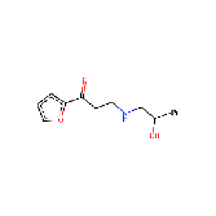 CC(C)C(O)CNCCC(=O)c1ccco1